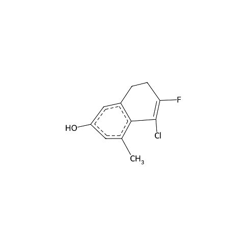 Cc1cc(O)cc2c1C(Cl)=C(F)CC2